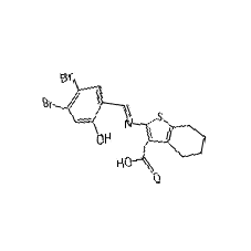 O=C(O)c1c(N=Cc2cc(Br)c(Br)cc2O)sc2c1CCCC2